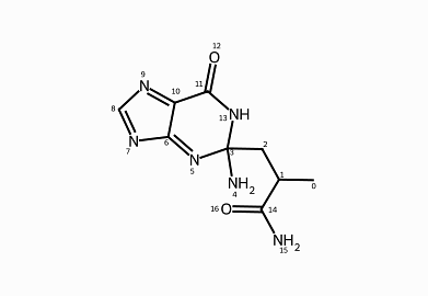 CC(CC1(N)N=C2N=CN=C2C(=O)N1)C(N)=O